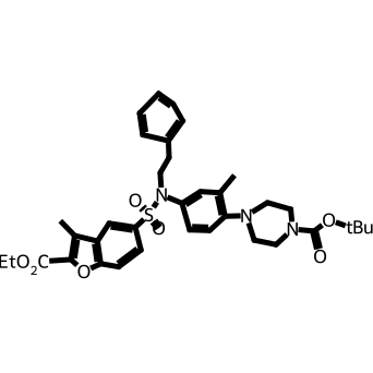 CCOC(=O)c1oc2ccc(S(=O)(=O)N(CCc3ccccc3)c3ccc(N4CCN(C(=O)OC(C)(C)C)CC4)c(C)c3)cc2c1C